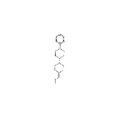 C=CC[C@H]1CC[C@H](C2CCC(c3ccccc3)CC2)CC1